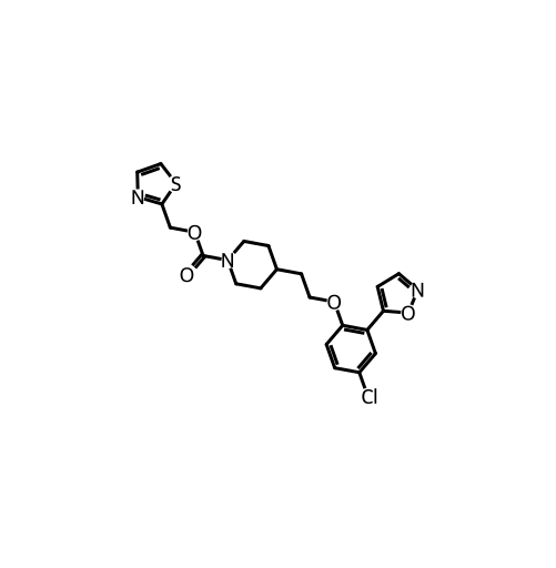 O=C(OCc1nccs1)N1CCC(CCOc2ccc(Cl)cc2-c2ccno2)CC1